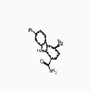 CC(C)c1ccc2c(c1)[nH]c1c(C(N)=O)ccc(Br)c12